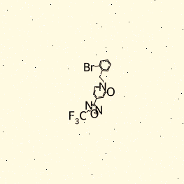 O=c1cc(-c2noc(C(F)(F)F)n2)ccn1CCc1ccccc1Br